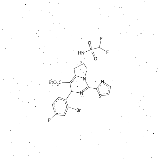 CCOC(=O)C1=C2C[C@H](NS(=O)(=O)C(F)F)CN2C(c2nccs2)=NC1c1ccc(F)cc1Br